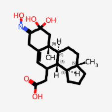 C[C@@]12CCC[C@H]1[C@@H]1C(CC(=O)O)C=C3CC(=NO)C(O)(O)C[C@]3(C)[C@H]1CC2